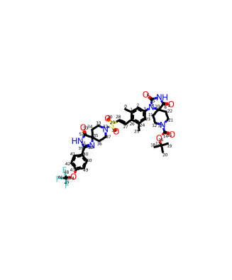 Cc1cc(N2C(=O)NC(=O)C23CCN(C(=O)OC(C)(C)C)CC3)cc(C)c1/C=C/S(=O)(=O)N1CCC2(CC1)N=C(c1ccc(OC(F)(F)F)cc1)NC2=O